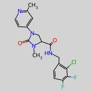 Cc1cc(N2CC(C(=O)NCc3ccc(F)c(F)c3Cl)N(C)C2=O)ccn1